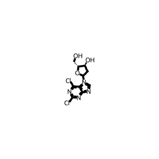 OC[C@H]1OC(n2cnc3nc(Cl)nc(Cl)c32)C[C@@H]1O